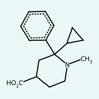 CN1CCC(C(=O)O)CC1(c1ccccc1)C1CC1